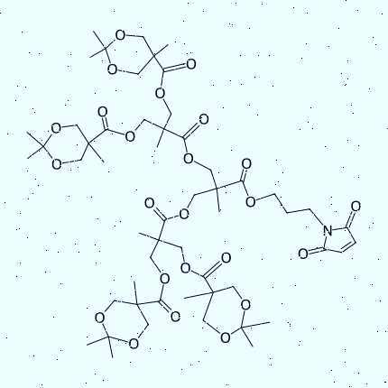 CC1(C)OCC(C)(C(=O)OCC(C)(COC(=O)C2(C)COC(C)(C)OC2)C(=O)OCC(C)(COC(=O)C(C)(COC(=O)C2(C)COC(C)(C)OC2)COC(=O)C2(C)COC(C)(C)OC2)C(=O)OCCCN2C(=O)C=CC2=O)CO1